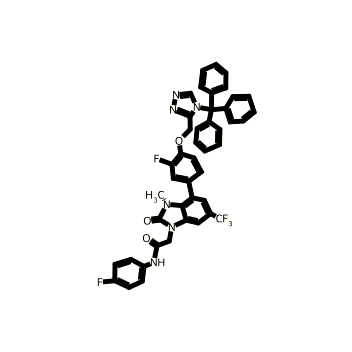 Cn1c(=O)n(CC(=O)Nc2ccc(F)cc2)c2cc(C(F)(F)F)cc(-c3ccc(OCc4nncn4C(c4ccccc4)(c4ccccc4)c4ccccc4)c(F)c3)c21